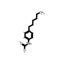 CCCCCCc1ccc(NC([O])=O)cc1